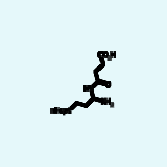 CCCCCCCCCC(N)NC(=O)CCC(=O)O